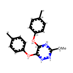 COc1nnc(Oc2ccc(C)cc2)c(Oc2ccc(C)cc2)n1